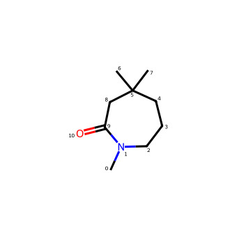 CN1CCCC(C)(C)CC1=O